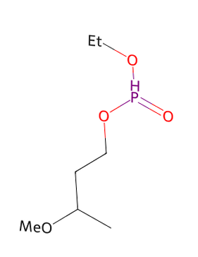 CCO[PH](=O)OCCC(C)OC